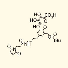 CC(C)(C)C(=O)OCc1cc(CCCCNC(=O)CCN2C(=O)C=CC2=O)ccc1OC1O[C@H](C(=O)O)[C@@H](O)[C@H](O)[C@H]1O